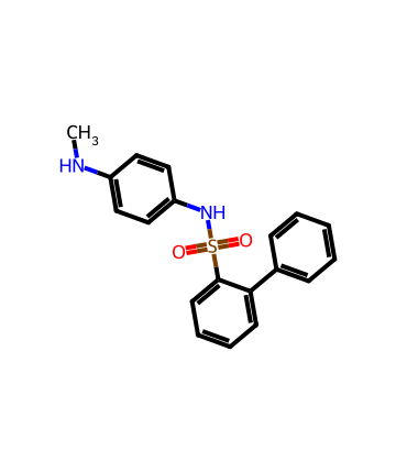 CNc1ccc(NS(=O)(=O)c2ccccc2-c2ccccc2)cc1